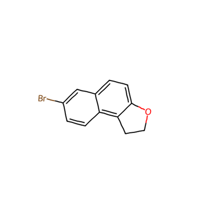 Brc1ccc2c3c(ccc2c1)OCC3